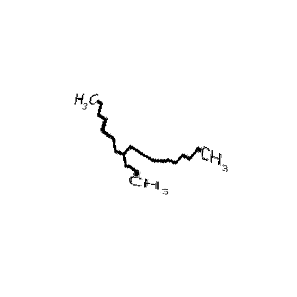 CCCC=CCCC(CCC)CCCCCCCC